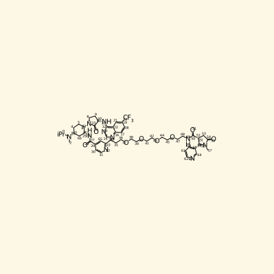 CC(C)N(C)[C@@H]1CC[C@H](N2CC[C@H](Nc3ncnc4ccc(C(F)(F)F)cc34)C2=O)[C@H](NC(=O)c2ccnc(CCCOCCOCCOCCOCCNC(=O)[C@H]3CC(=O)N(C)[C@@H]3c3cccnc3)c2)C1